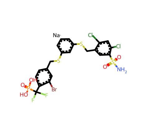 NS(=O)(=O)c1cc(CSc2cccc(SCc3ccc(C(F)(F)P(=O)(O)O)c(Br)c3)c2)c(Cl)cc1Cl.[Na]